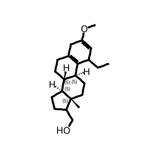 CCC1C=C(OC)CC2=C1[C@H]1CC[C@]3(C)C(CO)CC[C@H]3[C@@H]1CC2